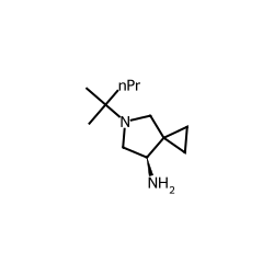 CCCC(C)(C)N1C[C@H](N)C2(CC2)C1